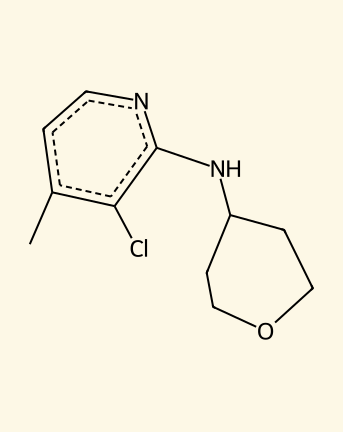 Cc1ccnc(NC2CCOCC2)c1Cl